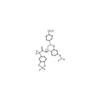 O=C(O)c1ccc(C2C[C@@H](NC(=O)C3(c4ccc5c(c4)OC(F)(F)O5)CC3)c3ccc(OC(F)F)cc3O2)cc1